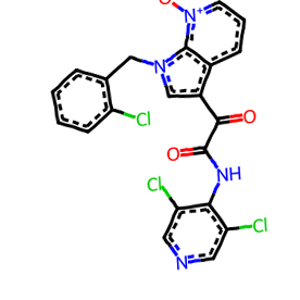 O=C(Nc1c(Cl)cncc1Cl)C(=O)c1cn(Cc2ccccc2Cl)c2c1ccc[n+]2[O-]